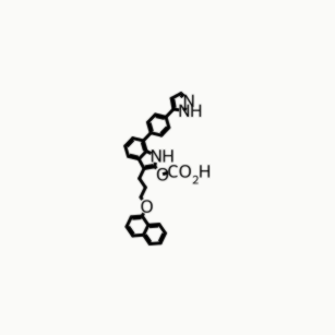 O=C(O)Oc1[nH]c2c(-c3ccc(-c4ccn[nH]4)cc3)cccc2c1CCCOc1cccc2ccccc12